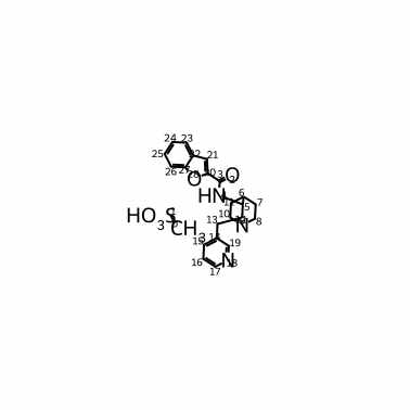 CS(=O)(=O)O.O=C(NC1C2CCN(CC2)C1Cc1cccnc1)c1cc2ccccc2o1